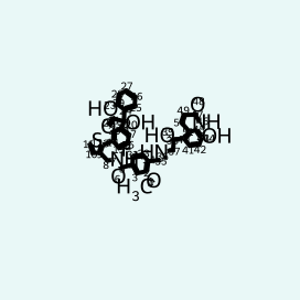 COc1cc(C(=O)NCc2ccsc2-c2cccc([C@](O)(C(=O)O)c3ccccc3)c2)c(F)cc1CNC[C@H](O)c1ccc(O)c2[nH]c(=O)ccc12